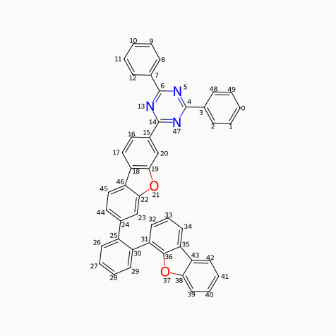 c1ccc(-c2nc(-c3ccccc3)nc(-c3ccc4c(c3)oc3cc(-c5ccccc5-c5cccc6c5oc5ccccc56)ccc34)n2)cc1